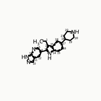 CCc1c(-c2cnc3[nH]ncc3c2)[nH]c2ccc(C3CCNCC3)cc12